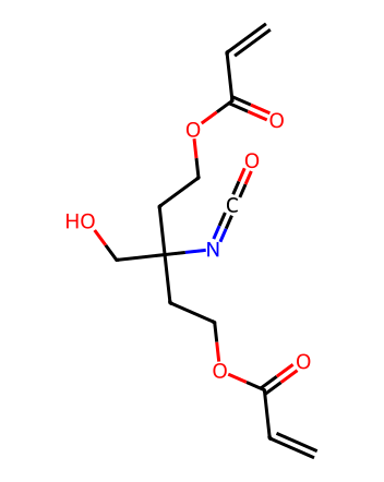 C=CC(=O)OCCC(CO)(CCOC(=O)C=C)N=C=O